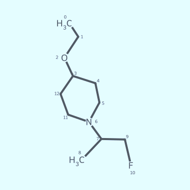 CCO[C]1CCN(C(C)CF)CC1